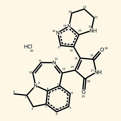 CC1Cc2cccc3c2N1C=CN=C3C1=C(c2cnn3c2NCCC3)C(=O)NC1=O.Cl